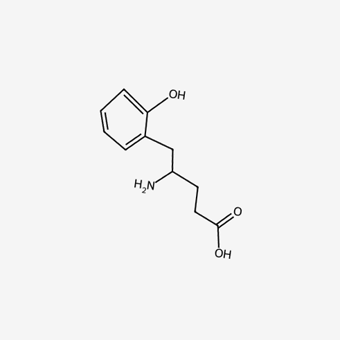 NC(CCC(=O)O)Cc1ccccc1O